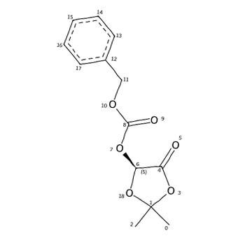 CC1(C)OC(=O)[C@H](OC(=O)OCc2ccccc2)O1